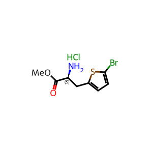 COC(=O)[C@@H](N)Cc1ccc(Br)s1.Cl